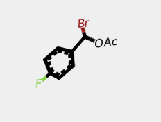 CC(=O)OC(Br)c1ccc(F)cc1